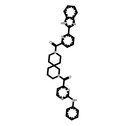 O=C(c1cccc(-c2nc3ccccc3[nH]2)n1)N1CCC2(CCCN(C(=O)c3ccnc(Nc4ccccc4)n3)C2)CC1